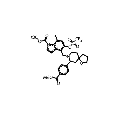 COC(=O)c1ccc([C@@H]2CC3(CCCO3)CCN2Cc2c(OS(=O)(=O)C(F)(F)F)cc(C)c3c2ccn3C(=O)OC(C)(C)C)cc1